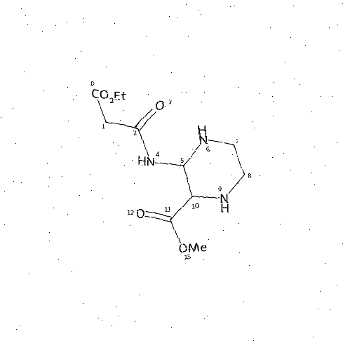 CCOC(=O)CC(=O)NC1NCCNC1C(=O)OC